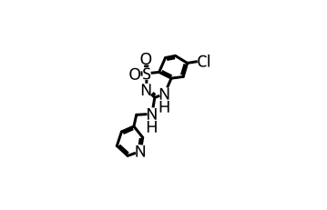 O=S1(=O)N=C(NCc2cccnc2)Nc2cc(Cl)ccc21